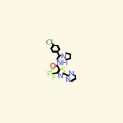 O=C(NCC(c1ccc(Cl)cc1)N1CCCC1)c1sc(-c2ncccn2)nc1C(F)(F)F